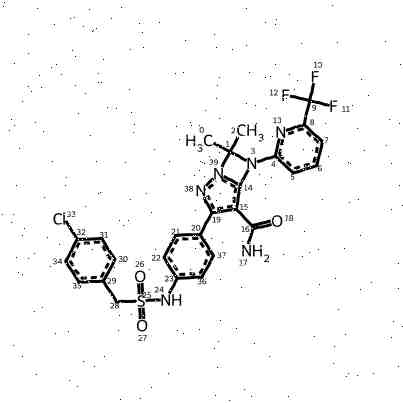 CC1(C)N(c2cccc(C(F)(F)F)n2)c2c(C(N)=O)c(-c3ccc(NS(=O)(=O)Cc4ccc(Cl)cc4)cc3)nn21